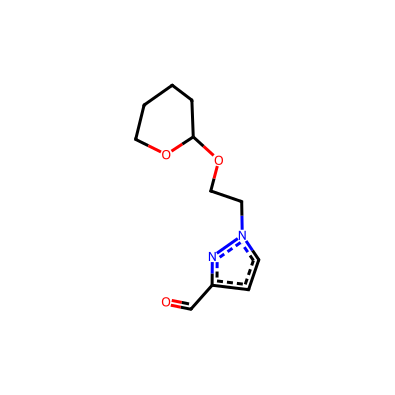 O=Cc1ccn(CCOC2CCCCO2)n1